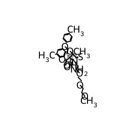 COCCOCCOCCNC(=S)[C@@](C)(Oc1ccc(C)cc1)[C@@](CCOc1ccc(C)cc1)(CC(N)=O)C(=O)O